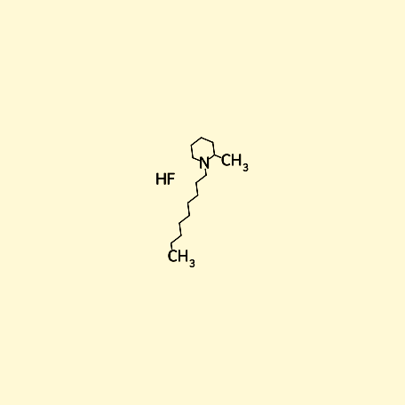 CCCCCCCCCN1CCCCC1C.F